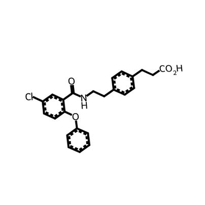 O=C(O)CCc1ccc(CCNC(=O)c2cc(Cl)ccc2Oc2ccccc2)cc1